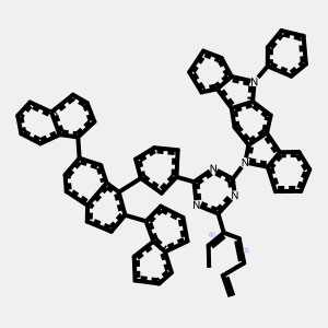 C=C/C=C\C(=C/C)c1nc(-c2cccc(-c3c(-c4cccc5ccccc45)ccc4ccc(-c5cccc6ccccc56)cc34)c2)nc(-n2c3ccccc3c3cc4c(cc32)c2ccccc2n4-c2ccccc2)n1